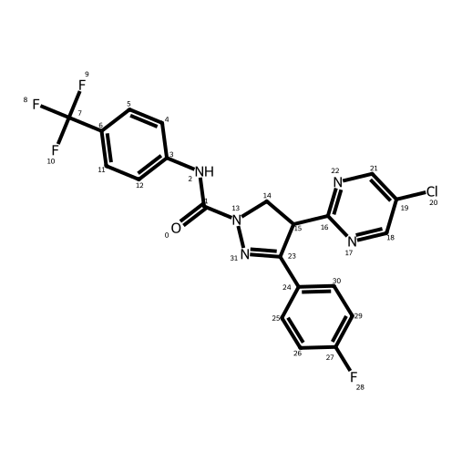 O=C(Nc1ccc(C(F)(F)F)cc1)N1CC(c2ncc(Cl)cn2)C(c2ccc(F)cc2)=N1